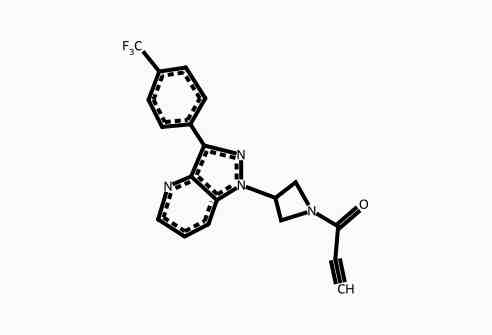 C#CC(=O)N1CC(n2nc(-c3ccc(C(F)(F)F)cc3)c3ncccc32)C1